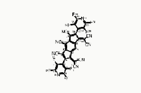 N#CC(C#N)=C1C(c2c(F)c(F)nc(F)c2F)=C(C#N)c2c1cc1c(c2C#N)C(C#N)=C(c2c(F)c(F)nc(F)c2F)C1=C(C#N)C#N